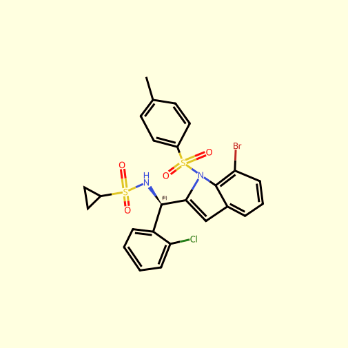 Cc1ccc(S(=O)(=O)n2c([C@H](NS(=O)(=O)C3CC3)c3ccccc3Cl)cc3cccc(Br)c32)cc1